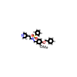 COc1cc(CN(CCc2ccncc2)S(=O)(=O)c2ccccc2)ccc1OCc1ccccc1